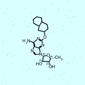 C[C@H]1O[C@@H](n2cnc3c(N)nc(OC4CCC5CCCCC5C4)nc32)[C@H](O)[C@@H]1O